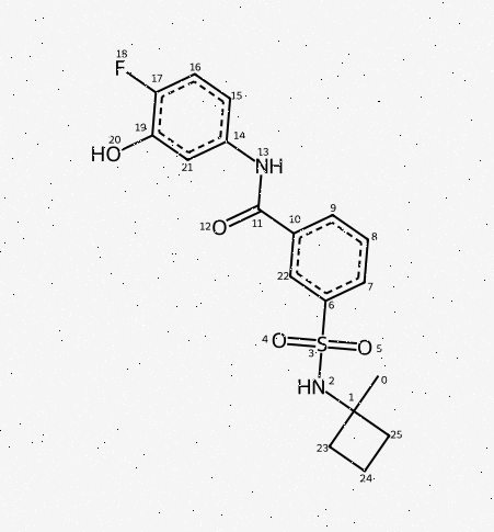 CC1(NS(=O)(=O)c2cccc(C(=O)Nc3ccc(F)c(O)c3)c2)CCC1